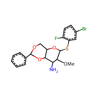 COC1C(Sc2cc(Br)ccc2F)OC2COC(c3ccccc3)OC2C1N